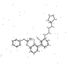 CCN(Cc1ccccc1)Cc1cccc(-c2cccc(CCCCN3CCCC3)c2C)c1C